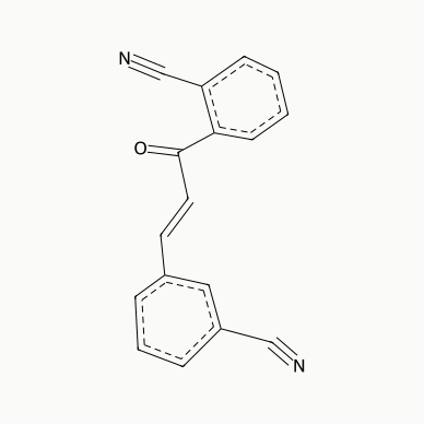 N#Cc1cccc(C=CC(=O)c2ccccc2C#N)c1